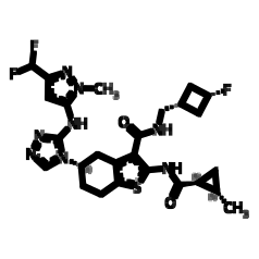 C[C@H]1C[C@@H]1C(=O)Nc1sc2c(c1C(=O)NC[C@H]1C[C@@H](F)C1)C[C@@H](n1cnnc1Nc1cc(C(F)F)nn1C)CC2